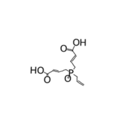 C=CCP(=O)(CC=CC(=O)O)CC=CC(=O)O